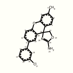 Cc1ccc2c(c1)Oc1ccc(-c3cccc(Cl)c3)cc1C21COC(N)=N1